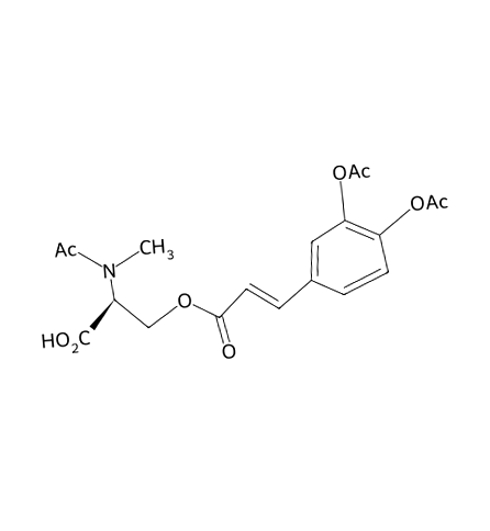 CC(=O)Oc1ccc(C=CC(=O)OC[C@@H](C(=O)O)N(C)C(C)=O)cc1OC(C)=O